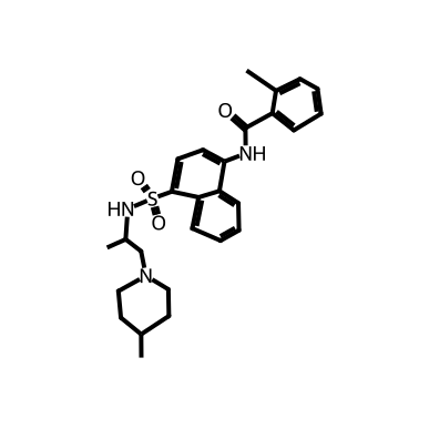 Cc1ccccc1C(=O)Nc1ccc(S(=O)(=O)NC(C)CN2CCC(C)CC2)c2ccccc12